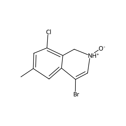 Cc1cc(Cl)c2c(c1)C(Br)=C[NH+]([O-])C2